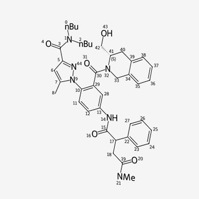 CCCCN(CCCC)C(=O)c1cc(C)n(-c2ccc(NC(=O)C(CC(=O)NC)c3ccccc3)cc2C(=O)N2Cc3ccccc3C[C@H]2CO)n1